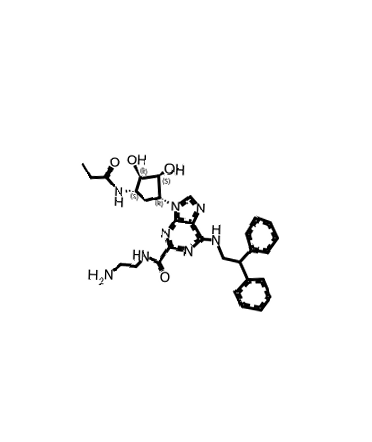 CCC(=O)N[C@H]1C[C@@H](n2cnc3c(NCC(c4ccccc4)c4ccccc4)nc(C(=O)NCCN)nc32)[C@H](O)[C@@H]1O